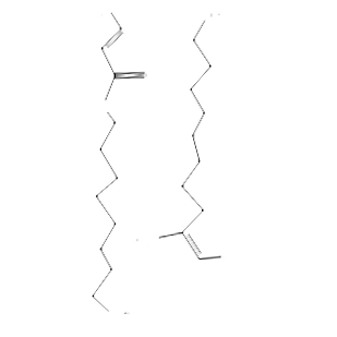 CCCCCCCCCCCCCCCCCC/C(=C\C(=O)O)C(=O)O.CCCCCCCCCCCCCCCCCCOC(=O)/C=C/C(=O)O